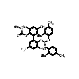 Cc1ccc(OP(Oc2ccc(C)cc2C(C)(C)C)Oc2c(-c3cc(C)cc(C(C)(C)C)c3OC(=O)OC(C)(C)C)cc(C)cc2C(C)(C)C)c(C(C)(C)C)c1